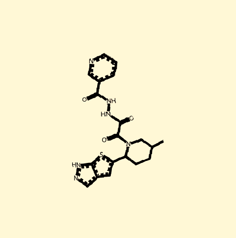 CC1CCC(c2cc3cn[nH]c3s2)N(C(=O)C(=O)NNC(=O)c2cccnc2)C1